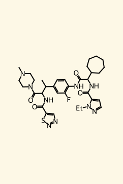 CCn1nccc1C(=O)NC(C(=O)Nc1ccc(C(C)C(NC(=O)c2cnns2)C(=O)N2CCN(C)CC2)cc1F)C1CCCCCC1